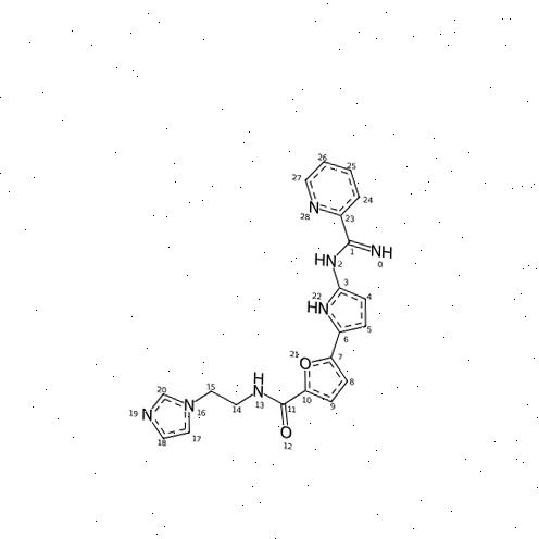 N=C(Nc1ccc(-c2ccc(C(=O)NCCn3ccnc3)o2)[nH]1)c1ccccn1